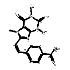 CCCn1c(=O)c2c(nc(/C=C\c3ccc(C(=O)OC)cc3)n2C)n(CCC)c1=O